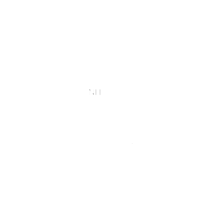 C=C(/C=C/CNCCC(C)C)C(C)C